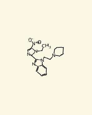 CCn1c([N+](=O)[O-])cnc1-c1nc2ccccc2n1CCN1CCCCC1